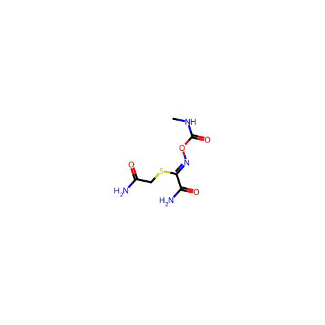 CNC(=O)ON=C(SCC(N)=O)C(N)=O